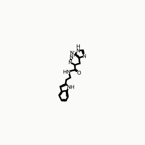 [N-]=[N+]=NC(Cc1c[nH]cn1)C(=O)NCCc1cc2ccccc2[nH]1